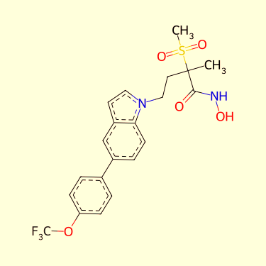 CC(CCn1ccc2cc(-c3ccc(OC(F)(F)F)cc3)ccc21)(C(=O)NO)S(C)(=O)=O